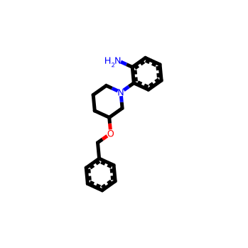 Nc1ccccc1N1CCCC(OCc2ccccc2)C1